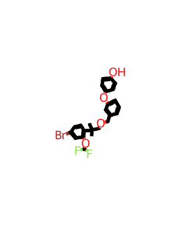 CC(C)(COCc1cccc(Oc2ccc(O)cc2)c1)c1ccc(Br)cc1OC(F)F